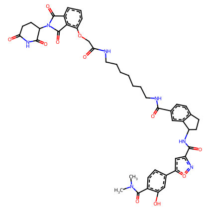 CN(C)C(=O)c1ccc(-c2cc(C(=O)NC3CCc4ccc(C(=O)NCCCCCCCNC(=O)COc5cccc6c5C(=O)N(C5CCC(=O)NC5=O)C6=O)cc43)no2)cc1O